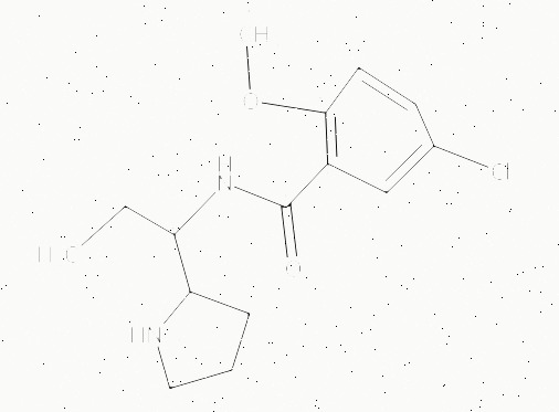 CCC(NC(=O)c1cc(Cl)ccc1OC)C1CCCN1